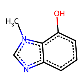 Cn1cnc2cccc(O)c21